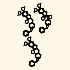 COc1cc2c(cc1OC)C(=O)C(CC1CCN(Cc3ccccc3)CC1)C2.COc1cc2c(cc1OC)C(=O)C(CC1CCN(Cc3ccccc3)CC1)C2.COc1cc2c(cc1OC)C(=O)C(CC1CCN(Cc3ccccc3)CC1)C2.Cl